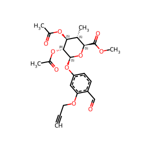 C#CCOc1cc(O[C@@H]2O[C@H](C(=O)OC)[C@@H](C)[C@H](OC(C)=O)[C@H]2OC(C)=O)ccc1C=O